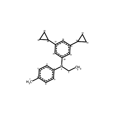 CCN(c1ccc(C)cc1)c1cc(C2CC2)cc(C2CC2)c1